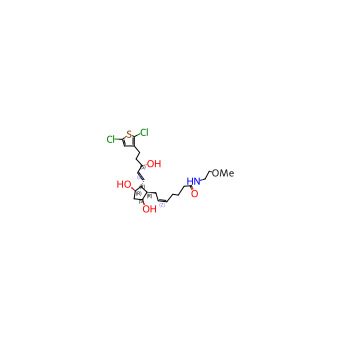 COCCNC(=O)CCC/C=C\C[C@@H]1[C@@H](/C=C/[C@@H](O)CCc2cc(Cl)sc2Cl)[C@H](O)C[C@@H]1O